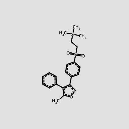 Cc1onc(-c2ccc(S(=O)(=O)CC[Si](C)(C)C)cc2)c1-c1ccccc1